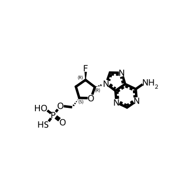 Nc1ncnc2c1ncn2[C@@H]1O[C@H](COP(=O)(O)S)C[C@H]1F